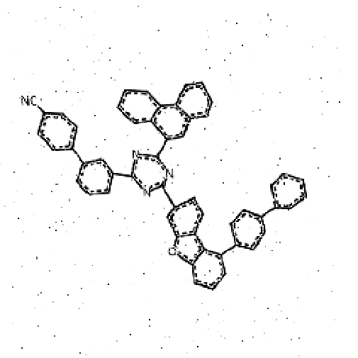 N#Cc1ccc(-c2cccc(-c3nc(-c4ccc5c(c4)oc4cccc(-c6ccc(-c7ccccc7)cc6)c45)nc(-c4cc5ccccc5c5ccccc45)n3)c2)cc1